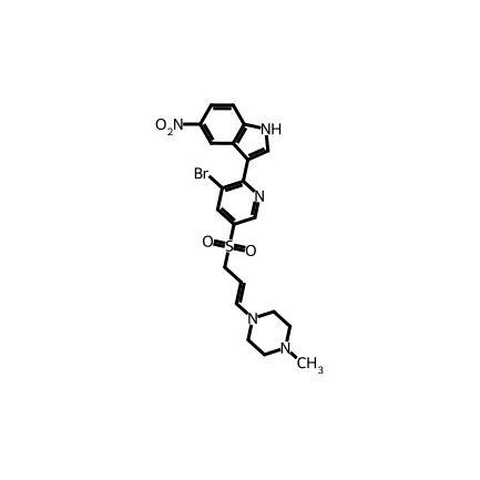 CN1CCN(C=CCS(=O)(=O)c2cnc(-c3c[nH]c4ccc([N+](=O)[O-])cc34)c(Br)c2)CC1